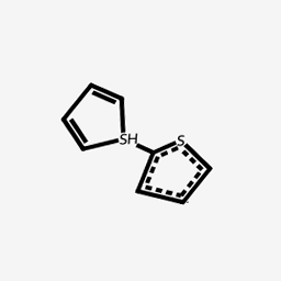 [c]1csc([SH]2C=CC=C2)c1